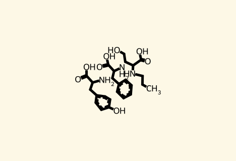 CCCNC(CCO)C(=O)O.NC(Cc1ccc(O)cc1)C(=O)O.NC(Cc1ccccc1)C(=O)O